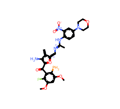 C=c1c(N)c(C(=O)c2c(F)c(OC)cc(OC)c2P)o/c1=C/N=C(\C)Nc1ccc(N2CCOCC2)cc1[N+](=O)[O-]